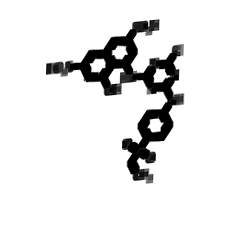 C=CS(=O)(=O)c1ccc(Nc2nc(Cl)nc(Nc3cc(S(=O)(=O)O)cc4cc(S(=O)(=O)O)[c]c(O)c34)n2)cc1